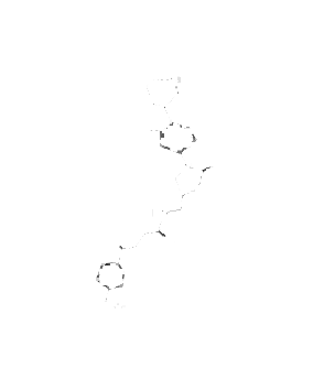 COc1ccc(C(=O)CCC(=O)NCC2CN(c3ccc(C4CNCCS4)c(F)c3)C(=O)O2)cc1